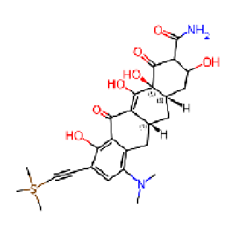 CN(C)c1cc(C#CS(C)(C)C)c(O)c2c1C[C@H]1C[C@H]3CC(O)C(C(N)=O)C(=O)[C@@]3(O)C(O)=C1C2=O